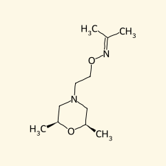 CC(C)=NOCCN1C[C@@H](C)O[C@@H](C)C1